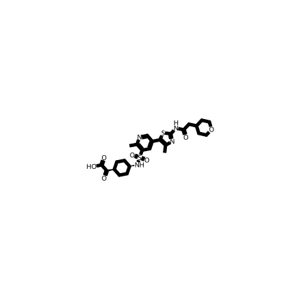 Cc1ncc(-c2sc(NC(=O)CC3CCOCC3)nc2C)cc1S(=O)(=O)N[C@H]1CC[C@H](C(=O)C(=O)O)CC1